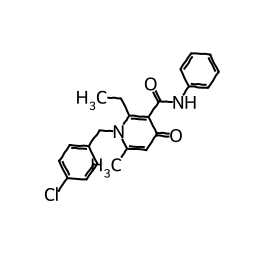 CCc1c(C(=O)Nc2ccccc2)c(=O)cc(C)n1Cc1ccc(Cl)cc1